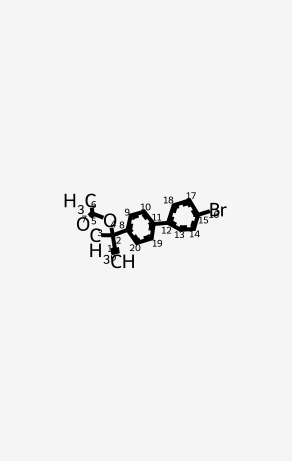 C#CC(C)(OC(C)=O)c1ccc(-c2ccc(Br)cc2)cc1